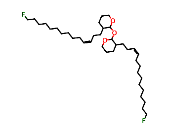 FCCCCCCCCCC/C=C\CCC1CCCOC1OC1OCCCC1CC/C=C\CCCCCCCCCCF